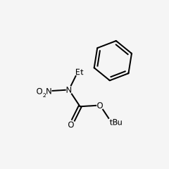 CCN(C(=O)OC(C)(C)C)[N+](=O)[O-].c1ccccc1